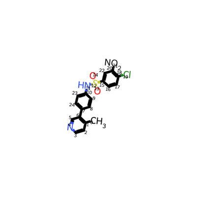 Cc1ccncc1-c1ccc(NS(=O)(=O)c2ccc(Cl)c([N+](=O)[O-])c2)cc1